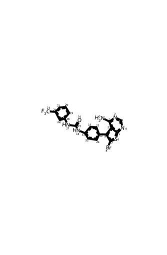 Nc1ncnc2sc(Br)c(-c3ccc(NC(=O)Nc4cccc(C(F)(F)F)c4)cc3)c12